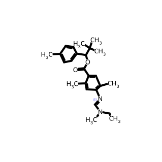 CCN(C)/C=N/c1cc(C)c(C(=O)OC(c2ccc(C)cc2)C(C)(C)C)cc1C